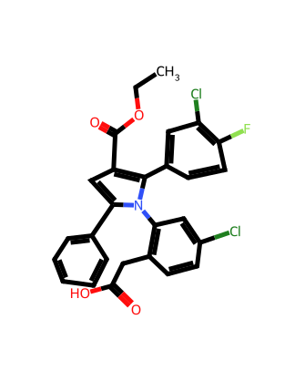 CCOC(=O)c1cc(-c2ccccc2)n(-c2cc(Cl)ccc2CC(=O)O)c1-c1ccc(F)c(Cl)c1